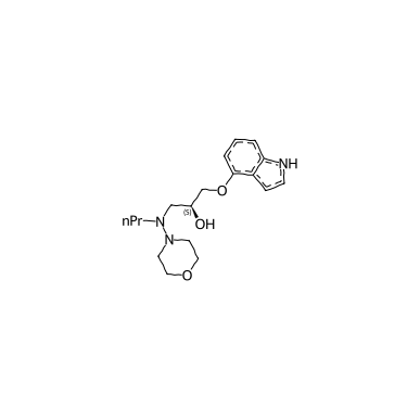 CCCN(C[C@H](O)COc1cccc2[nH]ccc12)N1CCOCC1